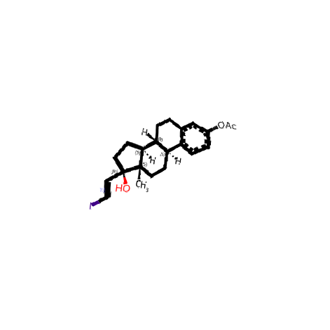 CC(=O)Oc1ccc2c(c1)CC[C@@H]1[C@@H]2CC[C@@]2(C)[C@H]1CC[C@@]2(O)/C=C/I